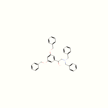 OC(CN(Cc1ccccc1)Cc1ccccc1)c1cc(OCc2ccccc2)cc(OCc2ccccc2)c1